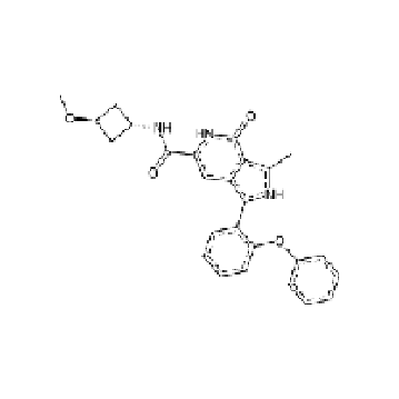 CO[C@H]1C[C@H](NC(=O)c2cc3c(-c4ccccc4Oc4ccccc4)[nH]c(C)c3c(=O)[nH]2)C1